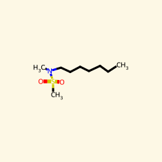 CCCCCCCN(C)S(C)(=O)=O